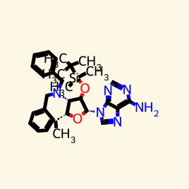 CC[C@H]1O[C@@H](n2cnc3c(N)ncnc32)C(O[Si](C)(C)C(C)(C)C)[C@H]1N(Cc1ccccc1)Cc1ccccc1